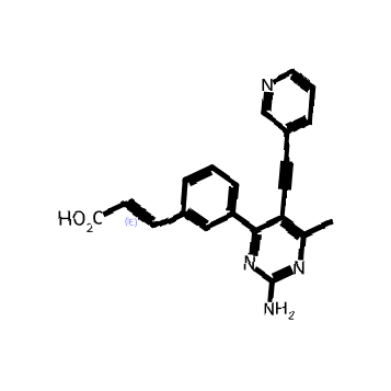 Cc1nc(N)nc(-c2cccc(/C=C/C(=O)O)c2)c1C#Cc1cccnc1